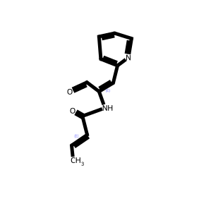 C/C=C/C(=O)N/C([C]=O)=C/c1ccccn1